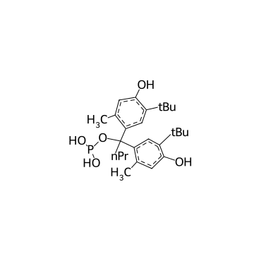 CCCC(OP(O)O)(c1cc(C(C)(C)C)c(O)cc1C)c1cc(C(C)(C)C)c(O)cc1C